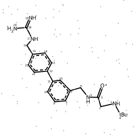 CC(C)(C)NCC(=O)NCc1cccc(-c2ccc(CNC(=N)N)cc2)c1